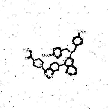 C=CC(=O)N1CCN(c2ncnc3c2CCC(c2nc(N(Cc4ccc(OC)cc4)Cc4ccc(OC)cc4)cc4ccccc24)C3)CC1